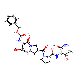 C[C@@H](O)[C@H](NC(=O)[C@H]1CCCN1C(=O)[C@H]1CCN(C(=O)[C@@H](NC(=O)OCc2ccccc2)[C@@H](C)O)C1)C(N)=O